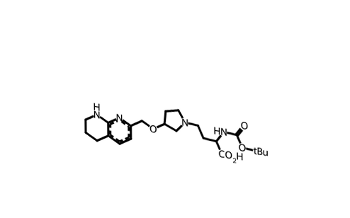 CC(C)(C)OC(=O)NC(CCN1CCC(OCc2ccc3c(n2)NCCC3)C1)C(=O)O